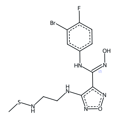 CSNCCNc1nonc1/C(=N/O)Nc1ccc(F)c(Br)c1